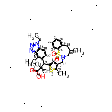 CCn1nnc2c(C)c(C(c3cc(CN4C[C@H](C)Cc5ccccc5S4(=O)=O)c(C)s3)C(C)(C)C(=O)O)ccc21